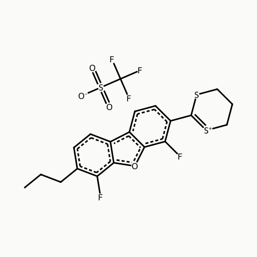 CCCc1ccc2c(oc3c(F)c(C4=[S+]CCCS4)ccc32)c1F.O=S(=O)([O-])C(F)(F)F